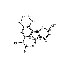 CN(C(=O)O)c1cc(OF)c(OF)c2c1[nH]c1ncc(Cl)cc12